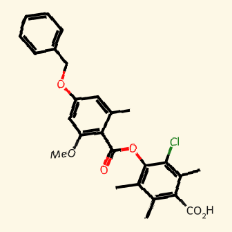 COc1cc(OCc2ccccc2)cc(C)c1C(=O)Oc1c(C)c(C)c(C(=O)O)c(C)c1Cl